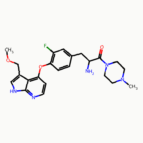 COCc1c[nH]c2nccc(Oc3ccc(CC(N)C(=O)N4CCN(C)CC4)cc3F)c12